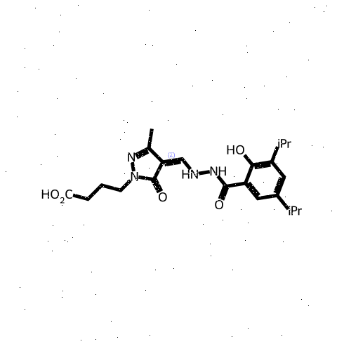 CC1=NN(CCCC(=O)O)C(=O)/C1=C\NNC(=O)c1cc(C(C)C)cc(C(C)C)c1O